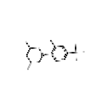 Cc1cc(C(C)(C)C)ccc1N1CC(C)CC(C)C1